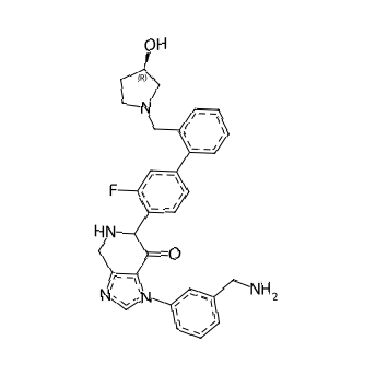 NCc1cccc(-n2cnc3c2C(=O)C(c2ccc(-c4ccccc4CN4CC[C@@H](O)C4)cc2F)NC3)c1